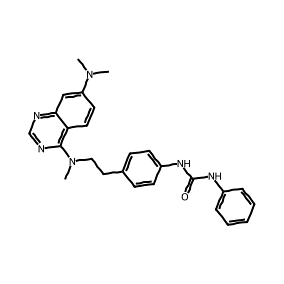 CN(C)c1ccc2c(N(C)CCc3ccc(NC(=O)Nc4ccccc4)cc3)ncnc2c1